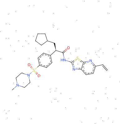 C=Cc1ccc2nc(NC(=O)[C@H](CC3CCCC3)c3ccc(S(=O)(=O)N4CCN(C)CC4)cc3)sc2n1